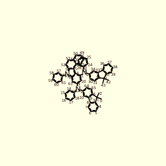 CC1(C)c2ccccc2-c2cc(N(c3ccccc3)c3cc(N(c4ccccc4)c4ccc5c(c4)-c4ccccc4C5(C)C)c4c5c6ccccc6ccc5n(-c5ccccc5)c4c3)ccc21